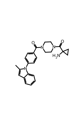 Cc1cc2ccccc2n1-c1ccc(C(=O)N2CCN(C(=O)C3(N)CC3)CC2)cc1